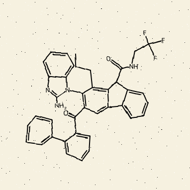 CCCc1c2c(cc(C(=O)c3ccccc3-c3ccccc3)c1-n1c(N)nc3ccccc31)-c1ccccc1C2C(=O)NCC(F)(F)F